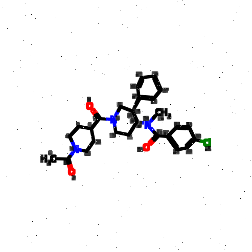 CC(=O)N1CCC(C(=O)N2CC[C@@H](N(C)C(=O)c3ccc(Cl)cc3)[C@H](c3ccccc3)C2)CC1